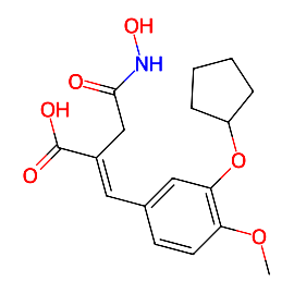 COc1ccc(/C=C(\CC(=O)NO)C(=O)O)cc1OC1CCCC1